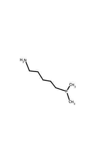 CP(C)CCCCCN